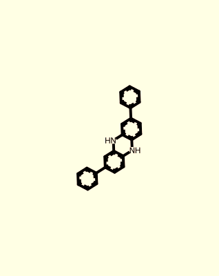 c1ccc(-c2ccc3c(c2)Nc2cc(-c4ccccc4)ccc2N3)cc1